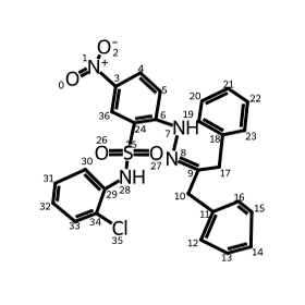 O=[N+]([O-])c1ccc(NN=C(Cc2ccccc2)Cc2ccccc2)c(S(=O)(=O)Nc2ccccc2Cl)c1